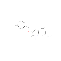 C=C1NC2=C(C=C(CC)C=C(NC)C2)C(O)=C1C(=O)CC1=CC=C(C(=O)O)CC=C1